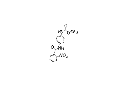 CC(C)(C)OC(=O)Nc1ccc(NC(=O)c2ccccc2[N+](=O)[O-])cc1